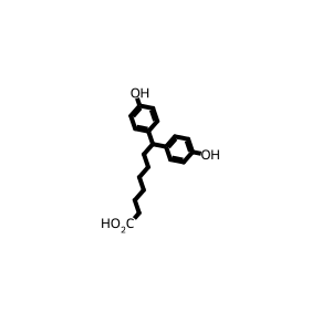 O=C(O)CCCCCCC(c1ccc(O)cc1)c1ccc(O)cc1